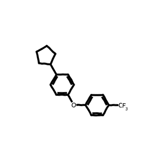 FC(F)(F)c1ccc(Oc2ccc(C3CCCC3)cc2)cc1